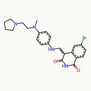 CN(CCN1CCCC1)c1ccc(NC=C2C(=O)NC(=O)c3ccc(Br)cc32)cc1